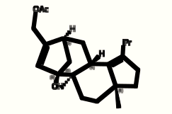 CC(=O)OCC1=C[C@]2(O)C[C@@H]1C[C@@H]1C3=C(C(C)C)CC[C@]3(C)CC[C@]12C